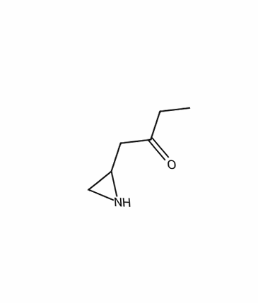 CCC(=O)CC1CN1